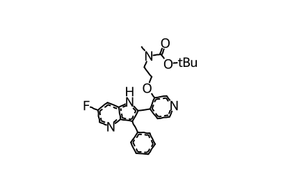 CN(CCOc1cnccc1-c1[nH]c2cc(F)cnc2c1-c1ccccc1)C(=O)OC(C)(C)C